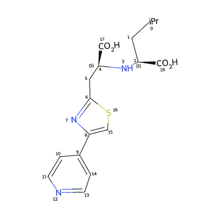 CC(C)C[C@H](N[C@@H](Cc1nc(-c2ccncc2)cs1)C(=O)O)C(=O)O